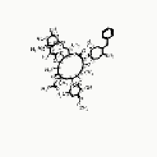 CON=C1C[C@@H](C)O[C@@H](O[C@@H]2[C@@H](C)[C@H](O[C@H]3CC(C)C(Cc4ccccc4)C[C@H](C)O3)[C@@H](C)C(=O)O[C@H]([C@@H](C)CO[C@@H]3O[C@H](C)[C@@H](O)[C@@H](OC)[C@H]3OC)[C@H](C)[C@@H](OC(=O)CC(C)C)[C@@H](C)C(=O)[C@@](C)(OC(C)=O)C[C@@H]2C)[C@@H]1O